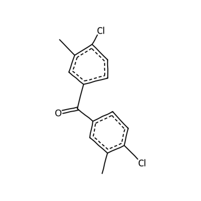 Cc1cc(C(=O)c2ccc(Cl)c(C)c2)ccc1Cl